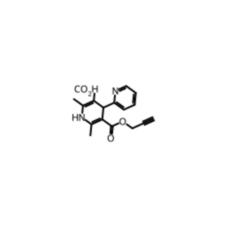 C#CCOC(=O)C1=C(C)NC(C)=C(C(=O)O)C1c1ccccn1